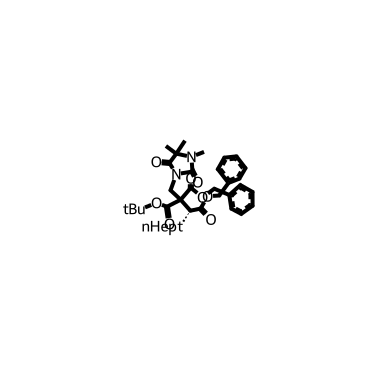 CCCCCCC[C@@H](C(=O)OCc1ccccc1)C(CN1C(=O)N(C)C(C)(C)C1=O)(C(=O)OCc1ccccc1)C(=O)OC(C)(C)C